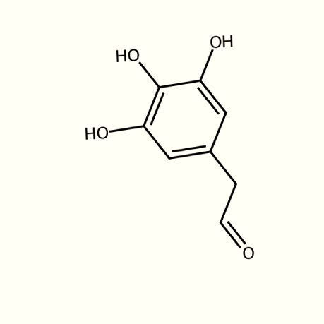 O=CCc1cc(O)c(O)c(O)c1